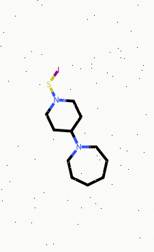 ISN1CCC(N2CCCCCC2)CC1